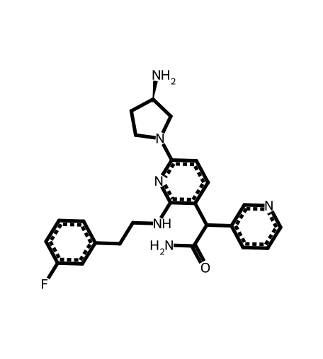 NC(=O)C(c1cccnc1)c1ccc(N2CC[C@@H](N)C2)nc1NCCc1cccc(F)c1